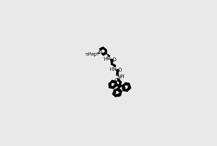 CCCCCCCN1CCC[C@@H](CNC(=O)CCNC(=O)CNC(=O)CC(c2ccccc2)(c2ccccc2)c2ccccc2)C1